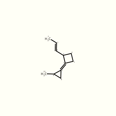 CC=CC1CCC1=C1CC1C